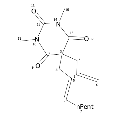 C=CCC1(CC=CCCCCC)C(=O)N(C)C(=O)N(C)C1=O